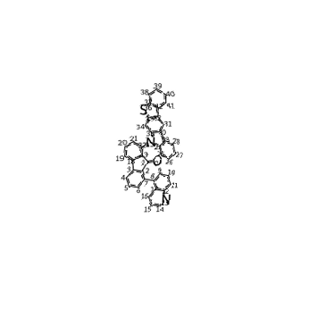 O=C1c2c(cccc2-c2cccc3ncccc23)-c2cccc(-n3c4ccccc4c4cc5c(cc43)sc3ccccc35)c21